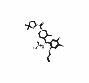 C=CCOc1cc(Cl)c(Cl)cc1[C@H](N[S@@+]([O-])C(C)(C)C)C1CCN(C(=O)[C@H]2COC(C)(C)O2)CC1C